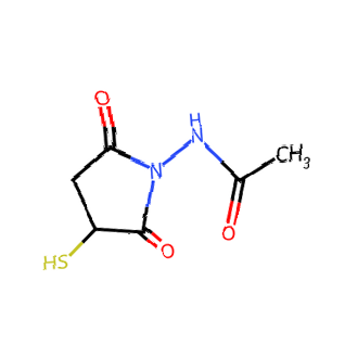 CC(=O)NN1C(=O)CC(S)C1=O